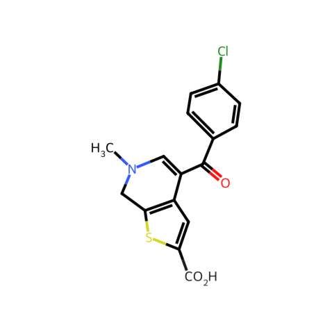 CN1C=C(C(=O)c2ccc(Cl)cc2)c2cc(C(=O)O)sc2C1